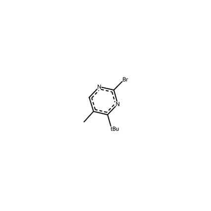 Cc1cnc(Br)nc1C(C)(C)C